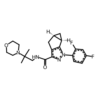 CC(C)(CNC(=O)c1nn(-c2ccc(F)cc2F)c2c1C[C@H]1C[C@@H]21)N1CCOCC1